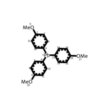 COc1cc[c]([Pb]([c]2ccc(OC)cc2)[c]2ccc(OC)cc2)cc1